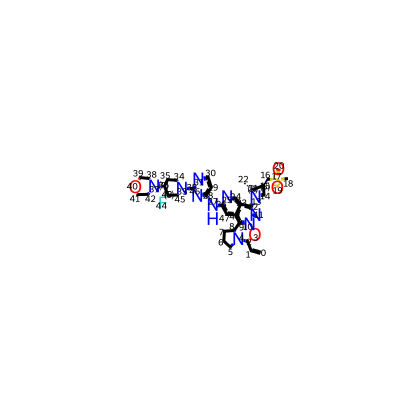 C=CC(=O)N1CCCC1c1nnc(N2C[C@H](CS(C)(=O)=O)[C@H]2C)c2cnc(Nc3ccnc(N4CC[C@@H](N5CCOCC5)[C@@H](F)C4)n3)cc12